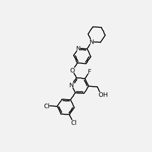 OCc1cc(-c2cc(Cl)cc(Cl)c2)nc(Oc2ccc(N3CCCCC3)nc2)c1F